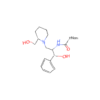 CCCCCCCCCC(=O)NC(CN1CCCCC1CO)C(O)c1ccccc1